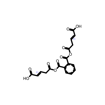 O=C(O)/C=C/CC(=O)OC(=O)c1ccccc1C(=O)OC(=O)C/C=C/C(=O)O